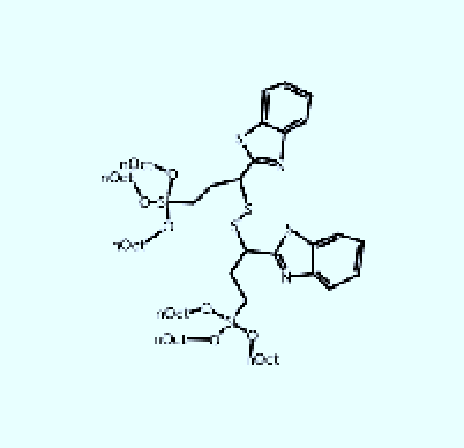 CCCCCCCCO[Si](CCC(SSC(CC[Si](OCCCCCCCC)(OCCCCCCCC)OCCCCCCCC)c1nc2ccccc2s1)c1nc2ccccc2s1)(OCCCCCCCC)OCCCCCCCC